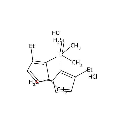 CCC1=[C]([Ti]([CH3])([CH3])(=[SiH2])[C]2=C(CC)C=CC2C)C(C)C=C1.Cl.Cl